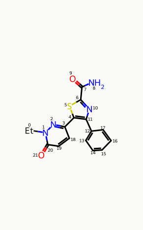 CCn1nc(-c2sc(C(N)=O)nc2-c2ccccc2)ccc1=O